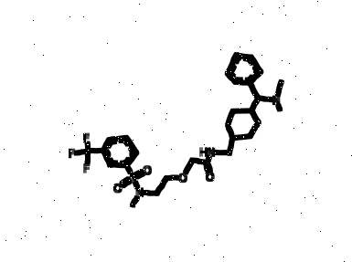 CN(C)C(c1ccccc1)C1CCC(CNC(=O)COCCN(C)S(=O)(=O)c2cccc(C(F)(F)F)c2)CC1